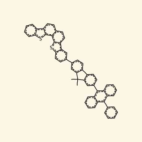 CC1(C)c2cc(-c3ccc4sc5c(ccc6ccc7c8ccccc8sc7c65)c4c3)ccc2-c2ccc(-c3c4ccccc4c(-c4ccccc4)c4ccccc34)cc21